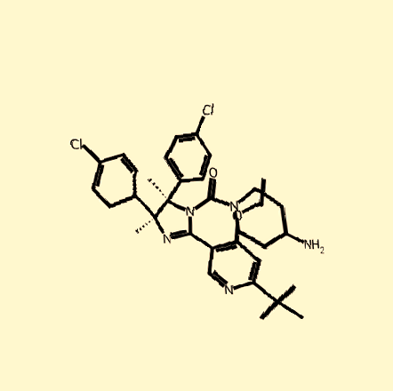 CCOc1cc(C(C)(C)C)ncc1C1=N[C@@](C)(C2C=CC(Cl)=CC2)[C@@](C)(c2ccc(Cl)cc2)N1C(=O)N1CCC(N)CC1